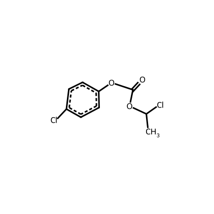 CC(Cl)OC(=O)Oc1ccc(Cl)cc1